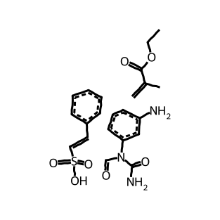 C=C(C)C(=O)OCC.NC(=O)N(C=O)c1cccc(N)c1.O=S(=O)(O)C=Cc1ccccc1